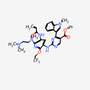 C=CC(=O)Nc1cc(Nc2ncc(C(=O)OC(C)C)c(-c3cn(C)c4ccccc34)n2)c(OCC(F)(F)F)nc1N(C)CCN(C)C